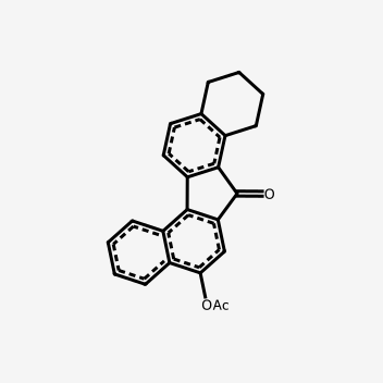 CC(=O)Oc1cc2c(c3ccccc13)-c1ccc3c(c1C2=O)CCCC3